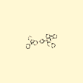 C1=Cc2c(n(-c3ccccc3)c3ccc(-c4ccc(N(c5ccc6ccccc6c5)c5cccc6c5oc5ccccc56)cc4)cc23)CC1